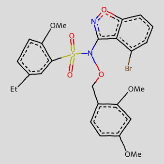 CCc1ccc(OC)c(S(=O)(=O)N(OCc2ccc(OC)cc2OC)c2noc3cccc(Br)c23)c1